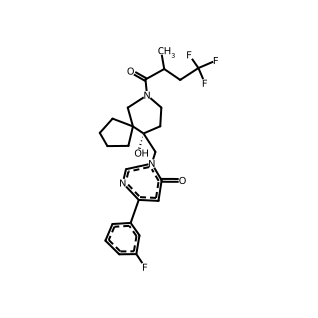 CC(CC(F)(F)F)C(=O)N1CC[C@@](O)(Cn2cnc(-c3cccc(F)c3)cc2=O)C2(CCCC2)C1